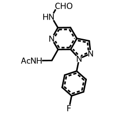 CC(=O)NCc1nc(NC=O)cc2cnn(-c3ccc(F)cc3)c12